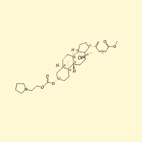 C=C(/C=C\C(=O)OC)[C@H]1CC[C@]2(O)[C@@H]3CC[C@@H]4C[C@@H](OC(=O)OCCN5CCCC5)CC[C@]4(C)[C@H]3CC[C@]12C